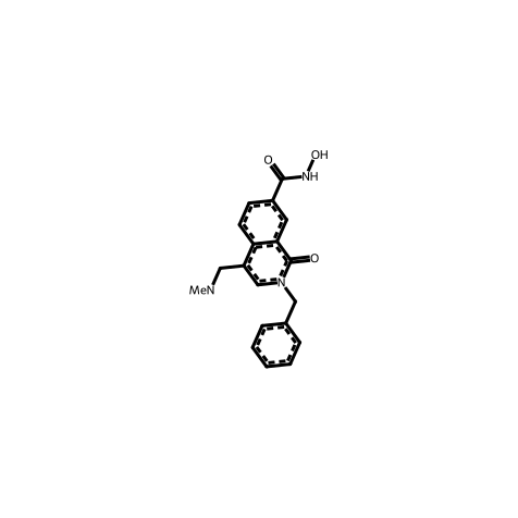 CNCc1cn(Cc2ccccc2)c(=O)c2cc(C(=O)NO)ccc12